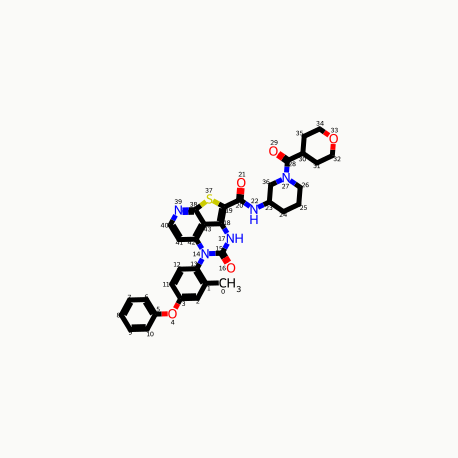 Cc1cc(Oc2ccccc2)ccc1N1C(=O)Nc2c(C(=O)NC3CCCN(C(=O)C4CCOCC4)C3)sc3nccc1c23